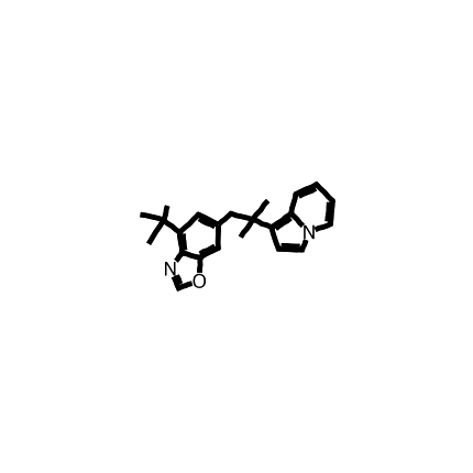 CC(C)(C)c1cc(CC(C)(C)c2ccn3ccccc23)cc2ocnc12